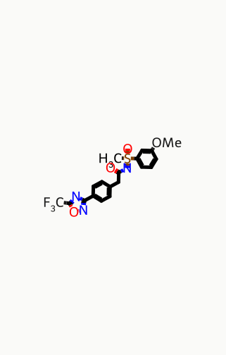 COc1cccc(S(C)(=O)=NC(=O)Cc2ccc(-c3noc(C(F)(F)F)n3)cc2)c1